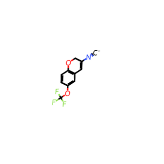 [C-]#[N+]C1=Cc2cc(OC(F)(F)F)ccc2OC1